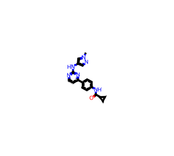 Cn1cc(Nc2nccc(-c3ccc(NC(=O)C4CC4)cc3)n2)cn1